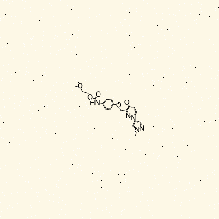 COCCOC(=O)Nc1ccc(OCc2nn(-c3cnn(C)c3)ccc2=O)cc1